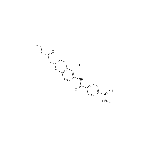 CCOC(=O)CC1CCc2cc(NC(=O)c3ccc(C(=N)NC)cc3)ccc2O1.Cl